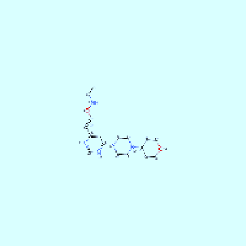 CCNO/C=C/c1cc(N2CCN(C3CCOCC3)CC2)ncn1